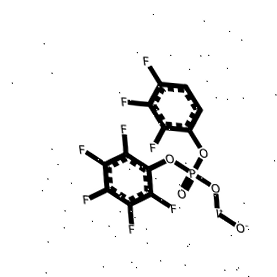 O=P(O[I+][O-])(Oc1ccc(F)c(F)c1F)Oc1c(F)c(F)c(F)c(F)c1F